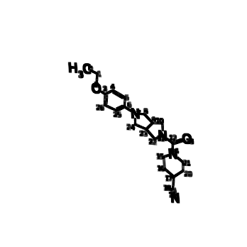 CCOc1ccc(N2CC3CN(C(=O)N4CCC(C#N)CC4)CC3C2)cc1